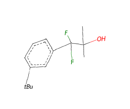 CC(C)(C)c1cccc(C(F)(F)C(C)(C)O)c1